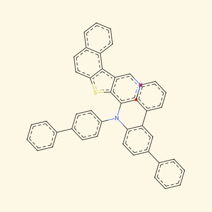 c1ccc(-c2ccc(N(c3ccc(-c4ccccc4)cc3-c3ccccc3)c3cncc4c3sc3ccc5ccccc5c34)cc2)cc1